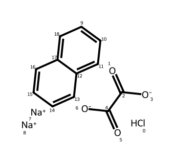 Cl.O=C([O-])C(=O)[O-].[Na+].[Na+].c1ccc2ccccc2c1